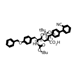 CC(C)(C)OC(=O)N[C@@H](Cc1ccc(OCc2ccccc2)cc1)[C@H](C[C@@H](Cc1ccc(-c2ccccc2C#N)cc1)C(=O)O)O[Si](C)(C)C(C)(C)C